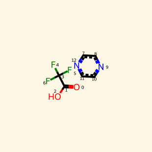 O=C(O)C(F)(F)F.c1cnccn1